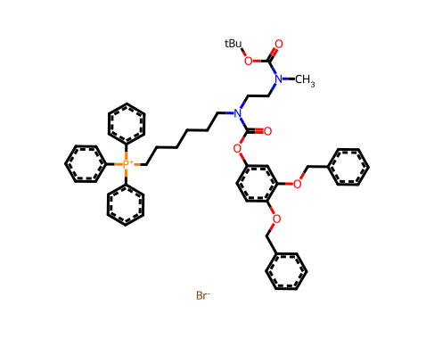 CN(CCN(CCCCCC[P+](c1ccccc1)(c1ccccc1)c1ccccc1)C(=O)Oc1ccc(OCc2ccccc2)c(OCc2ccccc2)c1)C(=O)OC(C)(C)C.[Br-]